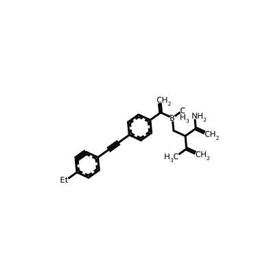 C=C(B(C)CC(C(=C)C)C(=C)N)c1ccc(C#Cc2c#cc(CC)cc2)cc1